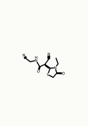 CCN1C(=O)CSC1=C(C#N)C(=O)NCC#N